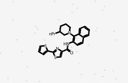 CCCC1CCCN(c2c(NC(=O)c3csc(-c4cccs4)n3)ccc3ccccc23)C1